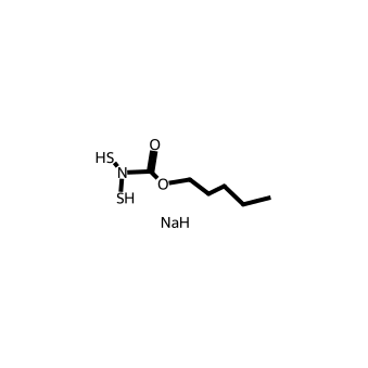 CCCCCOC(=O)N(S)S.[NaH]